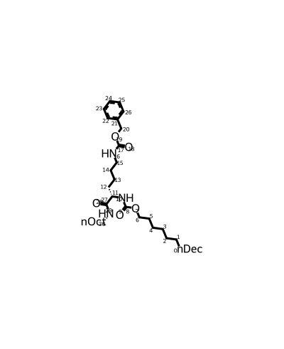 CCCCCCCCCCCCCCCCOC(=O)N[C@@H](CCCCNC(=O)OCc1ccccc1)C(=O)NCCCCCCCC